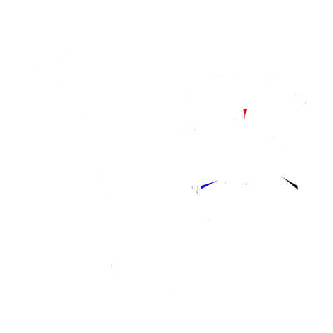 CC[C@H]1O[C@@H](n2cc(Cc3ccc(C4CC4)cc3)c3c(Cl)cccc32)[C@H](OC(C)=O)[C@@H](OC(C)=O)[C@@H]1C